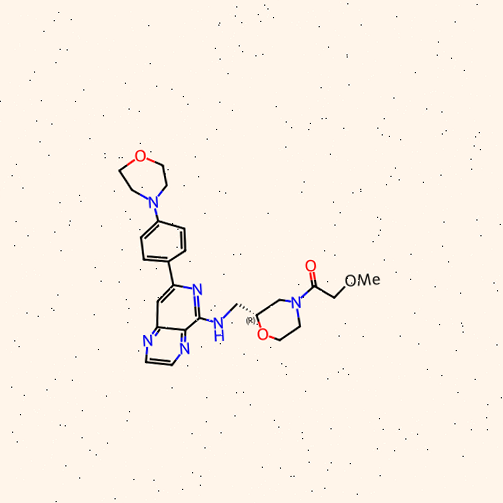 COCC(=O)N1CCO[C@H](CNc2nc(-c3ccc(N4CCOCC4)cc3)cc3nccnc23)C1